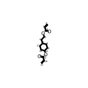 C=CC(=O)OCCC1CCC(OC(=O)C=C)CC1